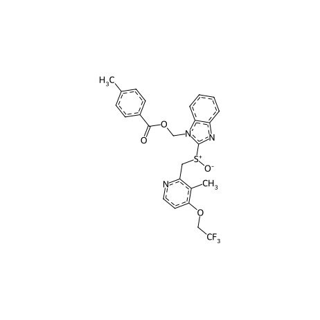 Cc1ccc(C(=O)OCn2c([S+]([O-])Cc3nccc(OCC(F)(F)F)c3C)nc3ccccc32)cc1